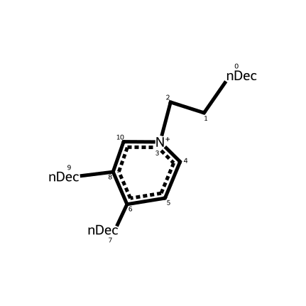 CCCCCCCCCCCC[n+]1ccc(CCCCCCCCCC)c(CCCCCCCCCC)c1